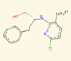 O=C(O)c1ccc(Cl)nc1N[C@@H](CO)Cc1ccccc1